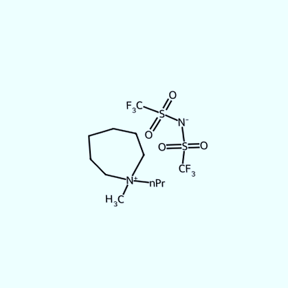 CCC[N+]1(C)CCCCCC1.O=S(=O)([N-]S(=O)(=O)C(F)(F)F)C(F)(F)F